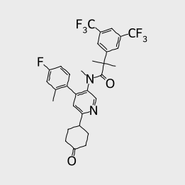 Cc1cc(F)ccc1-c1cc(C2CCC(=O)CC2)ncc1N(C)C(=O)C(C)(C)c1cc(C(F)(F)F)cc(C(F)(F)F)c1